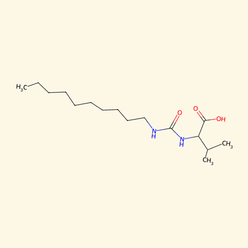 CCCCCCCCCCNC(=O)NC(C(=O)O)C(C)C